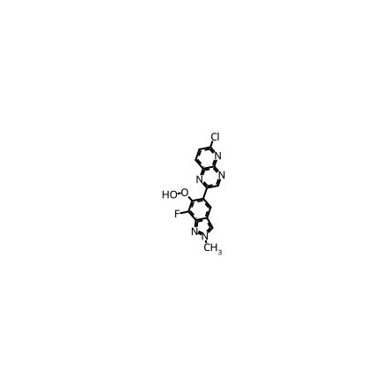 Cn1cc2cc(-c3cnc4nc(Cl)ccc4n3)c(OO)c(F)c2n1